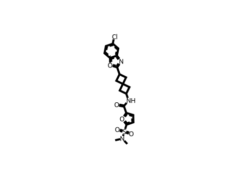 CN(C)S(=O)(=O)c1ccc(C(=O)NC2CC3(C2)CC(c2nc4cc(Cl)ccc4o2)C3)o1